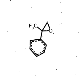 FC(F)(F)C1(c2ccccc2)CO1